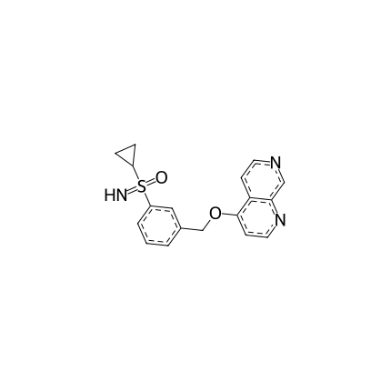 N=S(=O)(c1cccc(COc2ccnc3cnccc23)c1)C1CC1